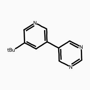 CC(C)(C)c1cncc(-c2cncnc2)c1